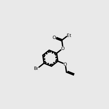 C=COc1cc(Br)ccc1OC(=O)CC